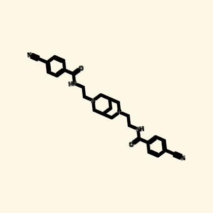 N#Cc1ccc(C(=O)NCCN2CC3CC(C2)CN(CCNC(=O)c2ccc(C#N)cc2)C3)cc1